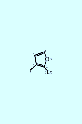 CCc1occc1C